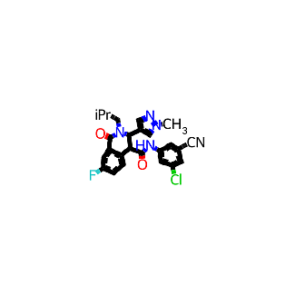 CC(C)CN1C(=O)c2cc(F)ccc2C(C(=O)Nc2cc(Cl)cc(C#N)c2)C1c1cnn(C)c1